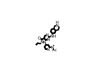 C=CCn1c(=O)c2cnc(Nc3ccc4c(c3)CCNC4)nc2n1-c1ccnc(N(C)C(C)=O)c1